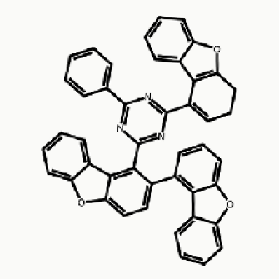 C1=C(c2nc(-c3ccccc3)nc(-c3c(-c4cccc5oc6ccccc6c45)ccc4oc5ccccc5c34)n2)c2c(oc3ccccc23)CC1